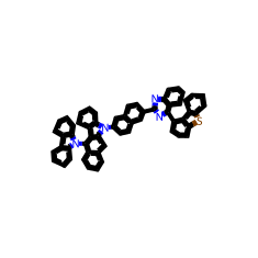 c1ccc2c(-n3c4ccccc4c4ccccc43)c3c4ccccc4n(-c4ccc5cc(-c6nc(-c7cccc8sc9ccccc9c78)c7ccccc7n6)ccc5c4)c3cc2c1